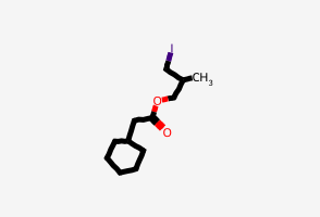 CC(CI)COC(=O)CC1CCCCC1